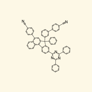 N#Cc1ccc(-c2cccc(C3(c4ccccc4)c4cc(-c5nc(-c6ccccc6)nc(-c6ccccc6)n5)ccc4-c4c3cc(-c3ccc(C#N)cc3)c3ccccc43)c2)cc1